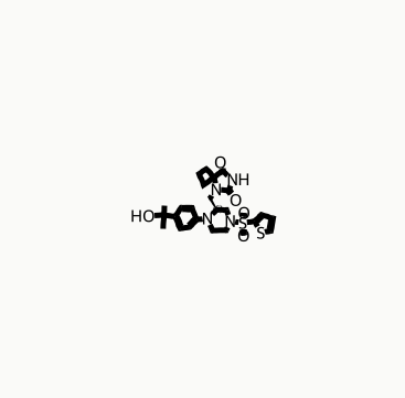 CC(C)(O)c1ccc(N2CCN(S(=O)(=O)c3cccs3)C[C@@H]2CN2C(=O)NC(=O)C23CCC3)cc1